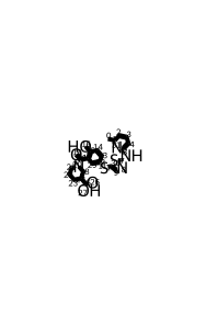 Cc1cccc(Nc2ncc(Sc3ccc(O)c(C(=O)N4CCCC(C(=O)O)C4)c3)s2)n1